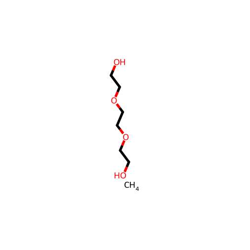 C.OCCOCCOCCO